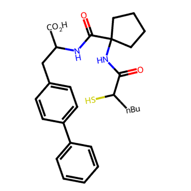 CCCCC(S)C(=O)NC1(C(=O)NC(Cc2ccc(-c3ccccc3)cc2)C(=O)O)CCCC1